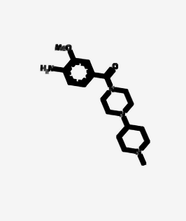 COc1cc(C(=O)N2CCN(C3CCN(C)CC3)CC2)ccc1N